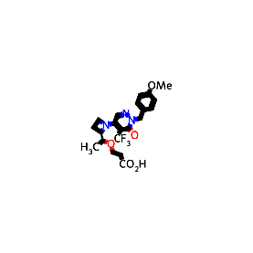 COc1ccc(Cn2ncc(N3CC[C@@H]3C(C)OCCC(=O)O)c(C(F)(F)F)c2=O)cc1